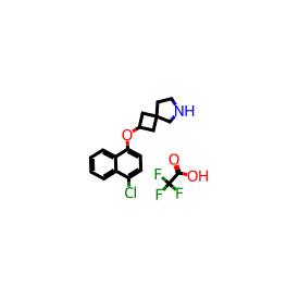 Clc1ccc(OC2CC3(CCNC3)C2)c2ccccc12.O=C(O)C(F)(F)F